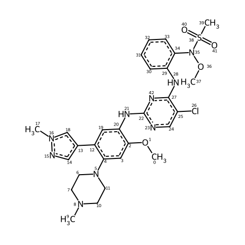 COc1cc(N2CCN(C)CC2)c(-c2cnn(C)c2)cc1Nc1ncc(Cl)c(Nc2ccccc2N(OC)S(C)(=O)=O)n1